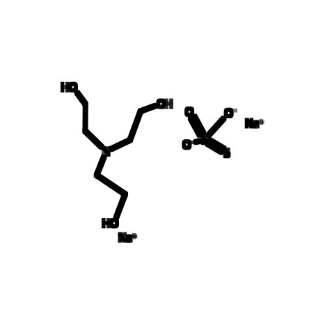 O=S([O-])([O-])=S.OCCN(CCO)CCO.[Na+].[Na+]